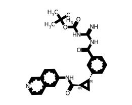 CC(C)(C)OC(=O)NC(=N)NC(=O)c1cccc([C@@H]2C[C@H]2C(=O)Nc2ccc3cnccc3c2)c1